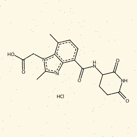 Cc1ccc(C(=O)NC2CCC(=O)NC2=O)c2nc(C)n(CC(=O)O)c12.Cl